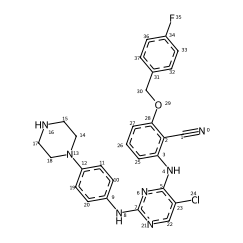 N#Cc1c(Nc2nc(Nc3ccc(N4CCNCC4)cc3)ncc2Cl)cccc1OCc1ccc(F)cc1